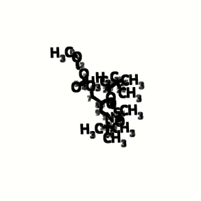 COCOC(=O)OC[C@H](CN(C(C)(C)C)S(C)(=O)=O)O[C@@H](C)C(C)(C)C